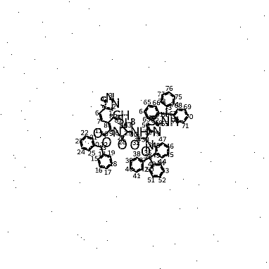 Cc1nnsc1/C=C\C1=C(C(=O)OC(c2ccccc2)c2ccccc2)N2C(=O)C(NC(=O)/C(=N\OC(c3ccccc3)(c3ccccc3)c3ccccc3)c3csc(NC(c4ccccc4)(c4ccccc4)c4ccccc4)n3)[C@@H]2SC1